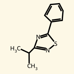 CC(C)c1nsc(-c2ccccc2)n1